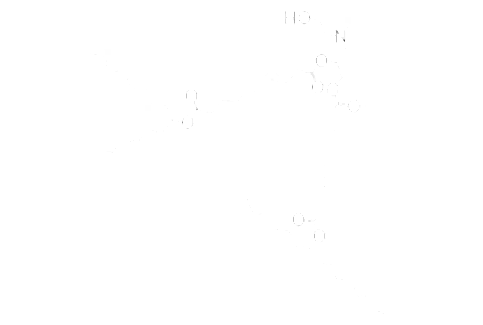 CCCCCCCCC(CCCCCC)OC(=O)CCCCCCCCC(=O)OCC(CN(C)CCO)OC(=O)CCCCCCCCC(=O)OC(CCCCCC)CCCCCCCC